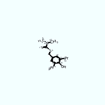 CC(C)c1cc(CSC(=S)N(C)C)cc(C(C)C)c1O